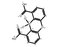 O=C(O)c1cccc2c1[N+]([O-])([O-])c1c(cccc1C(=O)O)O2